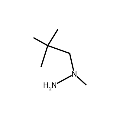 CN(N)CC(C)(C)C